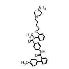 Cc1ccc(-c2ccccc2C(=O)Nc2ccc(C(=O)N(C)c3ccccc3OCCCCN3CCN(C)CC3)cc2)cc1